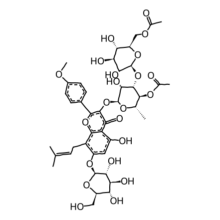 COc1ccc(-c2oc3c(CC=C(C)C)c(O[C@@H]4O[C@H](CO)[C@@H](O)[C@H](O)[C@H]4O)cc(O)c3c(=O)c2O[C@@H]2O[C@@H](C)[C@H](OC(C)=O)[C@@H](O[C@@H]3O[C@H](COC(C)=O)[C@@H](O)[C@H](O)[C@H]3O)[C@H]2O)cc1